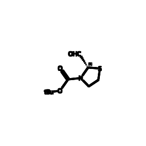 CC(C)(C)OC(=O)N1CCS[C@H]1C=O